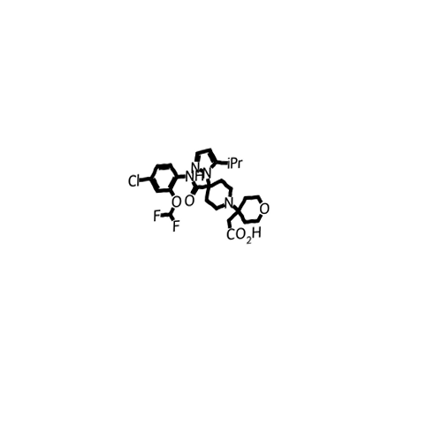 CC(C)c1ccnn1C1(C(=O)Nc2ccc(Cl)cc2OC(F)F)CCN(C2(CC(=O)O)CCOCC2)CC1